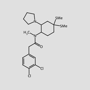 CSC1(SC)CCC(N(C)C(=O)Cc2ccc(Cl)c(Cl)c2)C(N2CCCC2)C1